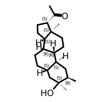 CC(=O)[C@H]1CC[C@H]2[C@@H]3CC[C@H]4C[C@](C)(O)[C@H](C)C[C@@H]4[C@H]3CC[C@]12C